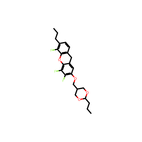 CCCc1ccc2c(c1F)Oc1c(cc(OCC3COC(CCC)OC3)c(F)c1F)C2